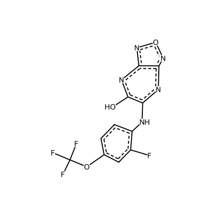 Oc1nc2nonc2nc1Nc1ccc(OC(F)(F)F)cc1F